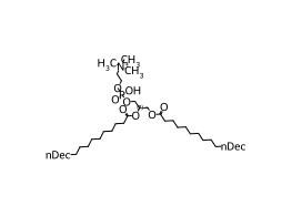 CCCCCCCCCCCCCCCCCCCC(=O)OC[C@H](COP(=O)(O)OCC[N+](C)(C)C)OC(=O)CCCCCCCCCCCCCCCCCCC